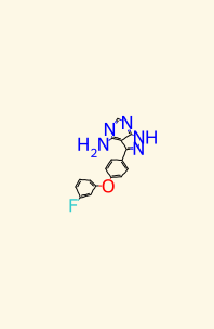 Nc1ncnc2[nH]nc(-c3ccc(Oc4cccc(F)c4)cc3)c12